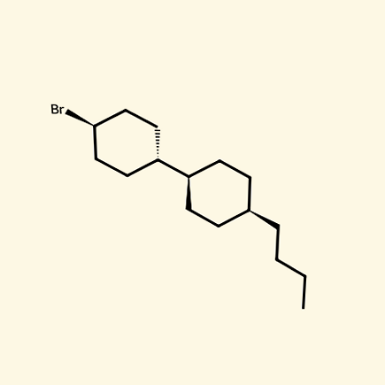 CCCC[C@H]1CC[C@@H]([C@H]2CC[C@H](Br)CC2)CC1